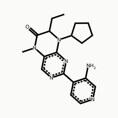 CCC1C(=O)N(C)c2cnc(-c3ccncc3N)nc2N1C1CCCC1